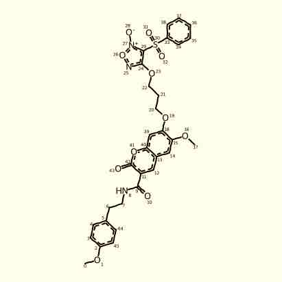 COc1ccc(CCNC(=O)c2cc3cc(OC)c(OCCCOc4no[n+]([O-])c4S(=O)(=O)c4ccccc4)cc3oc2=O)cc1